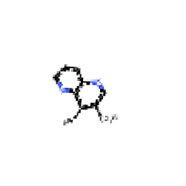 CCCc1c(C(=O)O)cnc2cccnc12